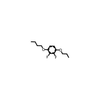 CCCCOc1ccc(OCCC)c(F)c1F